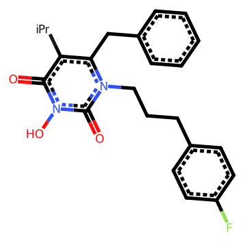 CC(C)c1c(Cc2ccccc2)n(CCCc2ccc(F)cc2)c(=O)n(O)c1=O